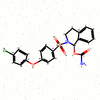 NC(=O)O[C@@H]1c2ccccc2CCN1S(=O)(=O)c1ccc(Oc2ccc(Cl)cc2)cc1